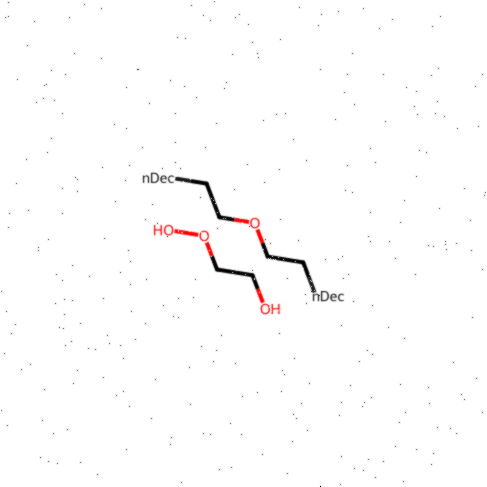 CCCCCCCCCCCCOCCCCCCCCCCCC.OCCOO